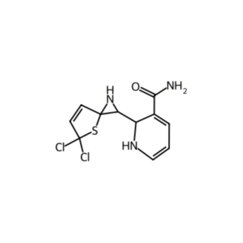 NC(=O)C1=CC=CNC1C1NC12C=CC(Cl)(Cl)S2